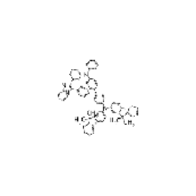 CC1(C)C2=CC=CCC2c2ccc(N(c3ccc(-c4ccc(N(c5ccccc5)c5cccc(-c6nc7ccccn7c6-c6ccccc6)c5)cc4)cc3)c3ccc4c(c3)C(C)(C)c3ccccc3-4)cc21